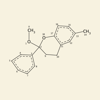 COC1(c2ccccc2)CCc2cc(C)ccc2O1